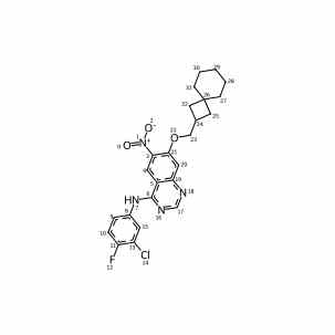 O=[N+]([O-])c1cc2c(Nc3ccc(F)c(Cl)c3)ncnc2cc1OCC1CC2(CCCCC2)C1